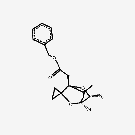 B[C@@H]1O[C@]2(CC(=O)OCc3ccccc3)C(C)[C@@H]1OC21CC1